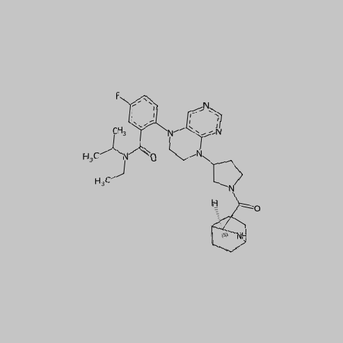 CCN(C(=O)c1cc(F)ccc1N1CCN(C2CCN(C(=O)[C@H]3NC4CCC3CC4)C2)c2ncncc21)C(C)C